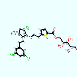 O=C(OC[C@@H](O)[C@@H](O)[C@@H](O)CO)c1ccc(CCC[C@@H]2[C@@H](CCc3cc(Cl)cc(Cl)c3)[C@H](O)C[C@@H]2Cl)s1